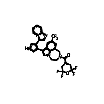 O=C(N1CCn2cc(-c3c[nH]cc3-c3cnc4ccccn34)c3cc(C(F)(F)F)cc(c32)C1)N1CC(F)(F)OC(F)(F)C1